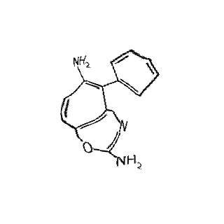 Nc1nc2c(-c3ccccc3)c(N)ccc2o1